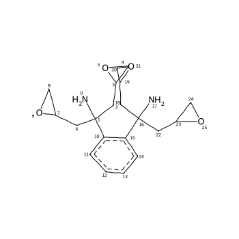 NC(CC1CO1)(CC1CO1)c1ccccc1C(N)(CC1CO1)CC1CO1